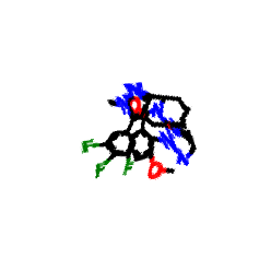 COc1cccc(C(=O)N2C3CCCC2c2nn(C)c(-c4cc(F)c(F)c(F)c4)c2C3)c1-n1nccn1